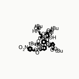 CN(C(=O)OC(C)(C)C)[C@@H]1[C@@H](O)[C@@H](O[C@H]2[C@H](NC(=O)[C@@H](O)CCNC(=O)OC(C)(C)C)C[C@H](NC(=O)OC(C)(C)C)C([C@H]3OC(CNC(=O)OCc4ccc([N+](=O)[O-])cc4)=CC[C@H]3NCC3CCCN3C(=O)OC(C)(C)C)[C@@H]2O)OC[C@]1(C)O